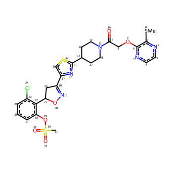 CSc1nccnc1OCC(=O)N1CCC(c2nc(C3=NOC(c4c(Cl)cccc4OS(C)(=O)=O)C3)cs2)CC1